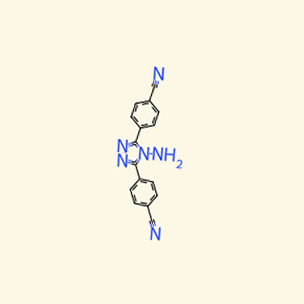 N#Cc1ccc(-c2nnc(-c3ccc(C#N)cc3)n2N)cc1